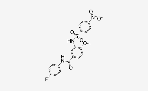 COc1ccc(C(=O)Nc2ccc(F)cc2)cc1NS(=O)(=O)c1ccc([N+](=O)[O-])cc1